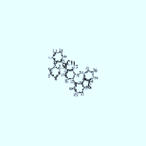 C[Si](c1ccccc1)(c1ccccc1)c1ccc(-c2cccc3sc4ccccc4c23)cc1